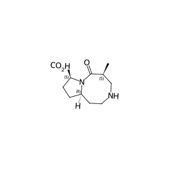 C[C@H]1CNCC[C@H]2CC[C@@H](C(=O)O)N2C1=O